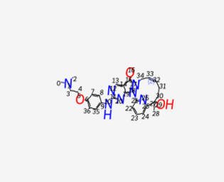 CN(C)CCOc1ccc(Nc2ncc3c(=O)n4n(c3n2)-c2cccc(n2)C(C)(O)CC/C=C\C4)cc1